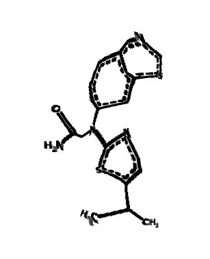 CC(C)c1cnc(N(C(N)=O)c2ccc3ncsc3c2)s1